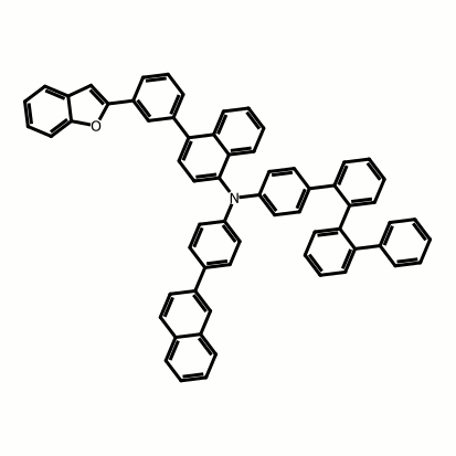 c1ccc(-c2ccccc2-c2ccccc2-c2ccc(N(c3ccc(-c4ccc5ccccc5c4)cc3)c3ccc(-c4cccc(-c5cc6ccccc6o5)c4)c4ccccc34)cc2)cc1